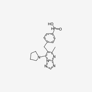 Cc1nc2ncnn2c(N2CCCC2)c1Cc1ccc([PH](=O)O)cc1